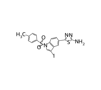 Cc1ccc(S(=O)(=O)n2cc(I)c3cc(-c4nnc(N)s4)ccc32)cc1